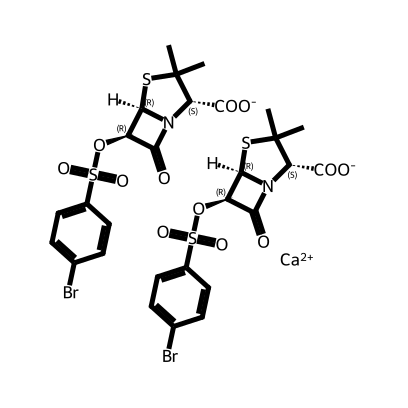 CC1(C)S[C@@H]2[C@H](OS(=O)(=O)c3ccc(Br)cc3)C(=O)N2[C@H]1C(=O)[O-].CC1(C)S[C@@H]2[C@H](OS(=O)(=O)c3ccc(Br)cc3)C(=O)N2[C@H]1C(=O)[O-].[Ca+2]